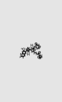 COc1cc2nc(C)ccc2cc1-c1cnc(C(CCCCCC(=O)c2ncco2)NC(=O)CN2CCOCC2=O)[nH]1